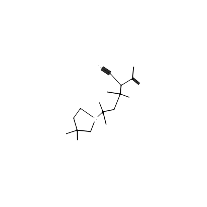 CC(C)(CC(C)(C)N1CCC(F)(F)C1)C(C#N)C(=O)O